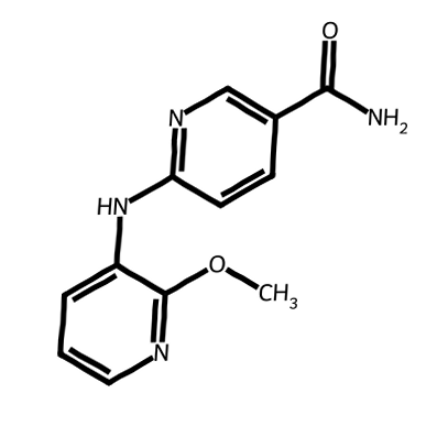 COc1ncccc1Nc1ccc(C(N)=O)cn1